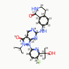 CC(C)n1c(=O)c2cnc(Nc3ccc4c(c3)C(=O)NCC4)nc2n1-c1ccc(F)c(C(C)(C)O)n1